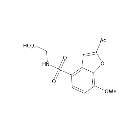 COc1ccc(S(=O)(=O)NCC(=O)O)c2cc(C(C)=O)oc12